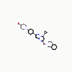 C[C@@H]1c2ccccc2CCN1C(=O)c1cc(C2CC2)n2nc(-c3ccc(N4CCC(C(=O)O)CC4)cc3F)cc2n1